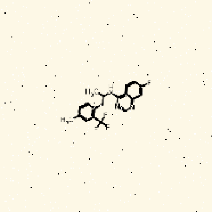 Cc1ccc(CC(C)Nc2ncnc3cc(F)ccc23)c(C(F)(F)F)c1